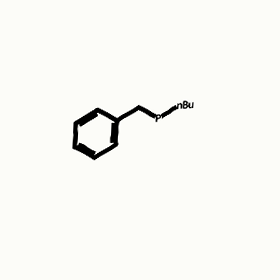 CCCC[P]Cc1ccccc1